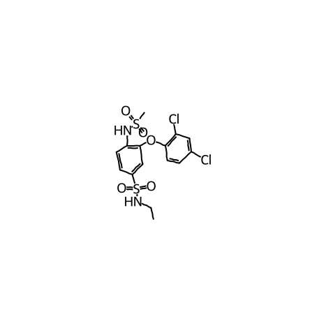 CCNS(=O)(=O)c1ccc(NS(C)(=O)=O)c(Oc2ccc(Cl)cc2Cl)c1